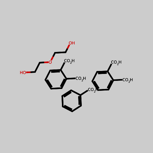 O=C(O)c1ccccc1.O=C(O)c1ccccc1C(=O)O.O=C(O)c1ccccc1C(=O)O.OCCOCCO